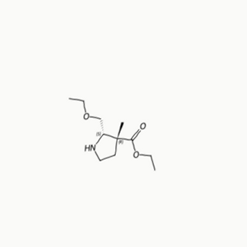 CCOC[C@H]1NCC[C@@]1(C)C(=O)OCC